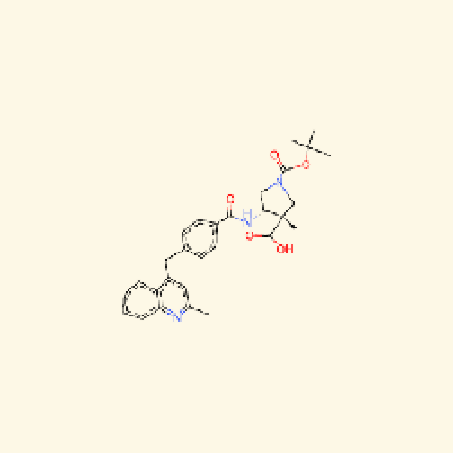 Cc1cc(Cc2ccc(C(=O)N[C@@H]3CN(C(=O)OC(C)(C)C)C[C@]3(C)C(=O)O)cc2)c2ccccc2n1